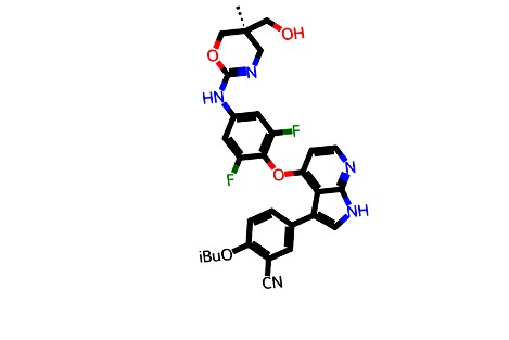 CC(C)COc1ccc(-c2c[nH]c3nccc(Oc4c(F)cc(NC5=NC[C@](C)(CO)CO5)cc4F)c23)cc1C#N